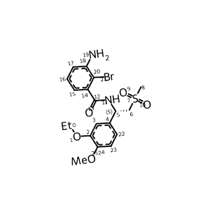 CCOc1cc([C@@H](CS(C)(=O)=O)NC(=O)c2cccc(N)c2Br)ccc1OC